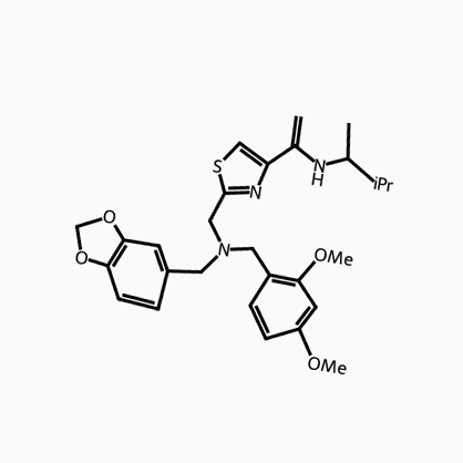 C=C(NC(C)C(C)C)c1csc(CN(Cc2ccc3c(c2)OCO3)Cc2ccc(OC)cc2OC)n1